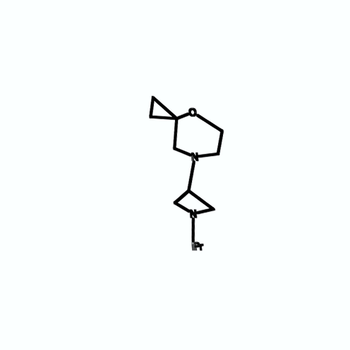 CC(C)N1CC(N2CCOC3(CC3)C2)C1